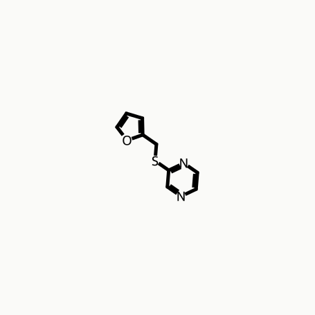 c1coc(CSc2cnccn2)c1